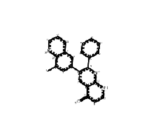 Cc1cc(-c2cc3c(=O)cc[nH]c3nc2-c2ccccc2)cc2cccnc12